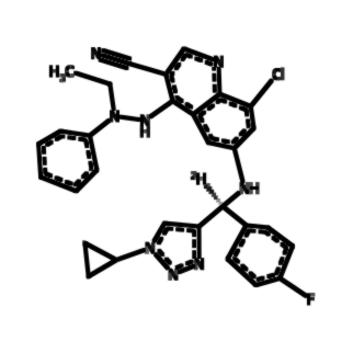 [2H][C@](Nc1cc(Cl)c2ncc(C#N)c(NN(CC)c3ccccc3)c2c1)(c1ccc(F)cc1)c1cn(C2CC2)nn1